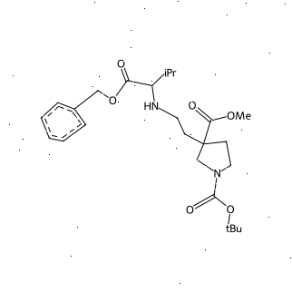 COC(=O)C1(CCNC(C(=O)OCc2ccccc2)C(C)C)CCN(C(=O)OC(C)(C)C)C1